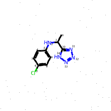 CC(Nc1ccc(Cl)cc1)c1nnn[nH]1